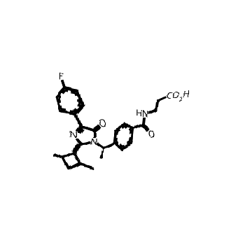 CC1CC(C)C1=C1N=C(c2ccc(F)cc2)C(=O)N1[C@H](C)c1ccc(C(=O)NCCC(=O)O)cc1